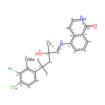 COc1c(C(C)(C)CC(O)(/C=N/c2cccc3c(=O)[nH]ccc23)C(F)(F)F)ccc(Cl)c1F